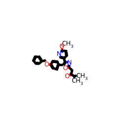 COc1ccc(-c2nc(CC(=O)C(C)C)oc2-c2ccc(OCc3ccccc3)cc2)cn1